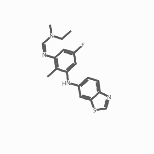 CCN(C)/C=N\c1cc(F)cc(Nc2ccc3ncsc3c2)c1C